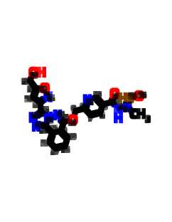 CN(NC(=O)c1ccc(COc2nn3c(-c4cc(CO)on4)nnc3c3ccccc23)nc1)[SH]=O